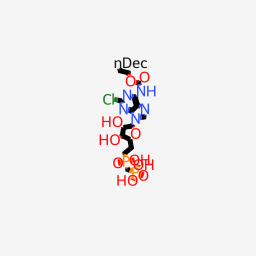 CCCCCCCCCCCCOC(=O)Nc1nc(Cl)nc2c1ncn2C1OC(CCP(=O)(O)CP(=O)(O)O)C(O)C1O